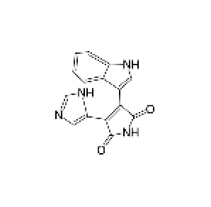 O=C1NC(=O)C(c2c[nH]c3ccccc23)=C1c1cnc[nH]1